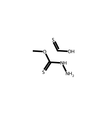 COC(=S)NN.OC=S